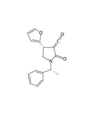 C[C@H](c1ccccc1)N1C[C@H](c2ccco2)C(=C=O)C1=O